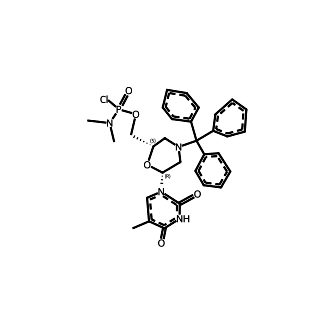 Cc1cn([C@H]2CN(C(c3ccccc3)(c3ccccc3)c3ccccc3)C[C@@H](COP(=O)(Cl)N(C)C)O2)c(=O)[nH]c1=O